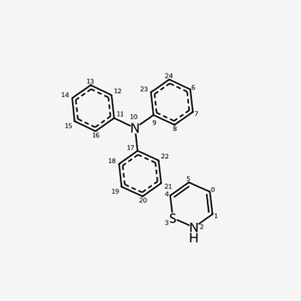 C1=CNSC=C1.c1ccc(N(c2ccccc2)c2ccccc2)cc1